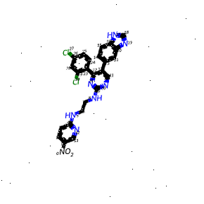 O=[N+]([O-])c1ccc(NCCNc2ncc(-c3ccc4[nH]cnc4c3)c(-c3ccc(Cl)cc3Cl)n2)nc1